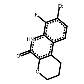 CCc1ccc2c3c(c(=O)[nH]c2c1F)OCCC3